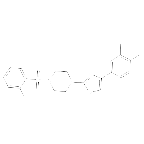 Cc1ccc(-c2csc(N3CCN(S(=O)(=O)c4ccccc4Cl)CC3)n2)cc1C